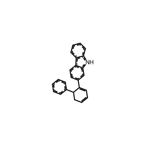 C1=CCC(c2ccccc2)C(c2ccc3c(c2)[nH]c2ccccc23)=C1